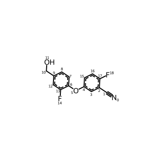 N#Cc1cc(Oc2ccc(CO)cc2F)ccc1F